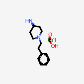 Cl.N=C1CCN(CCc2ccccc2)CC1.O=CO